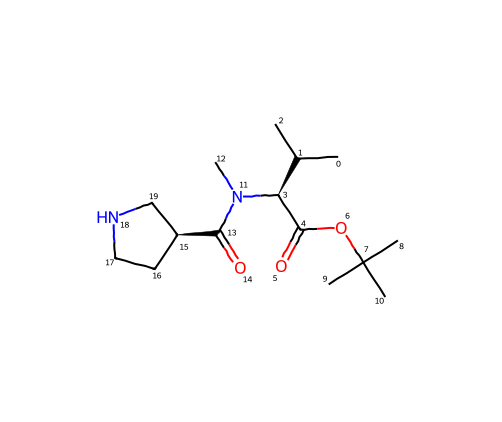 CC(C)[C@@H](C(=O)OC(C)(C)C)N(C)C(=O)[C@H]1CCNC1